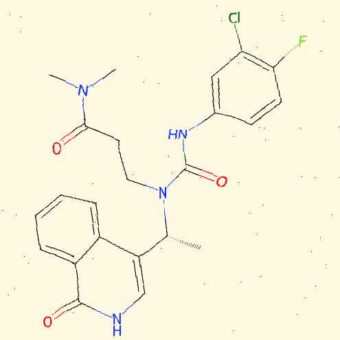 C[C@H](c1c[nH]c(=O)c2ccccc12)N(CCC(=O)N(C)C)C(=O)Nc1ccc(F)c(Cl)c1